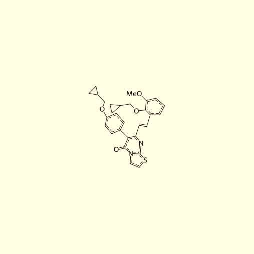 COc1cccc(/C=C/c2nc3sccn3c(=O)c2-c2ccc(OCC3CC3)cc2)c1OCC1CC1